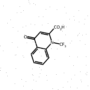 O=C(O)c1cc(=O)c2ccccc2n1C(F)(F)F